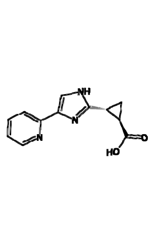 O=C(O)[C@@H]1C[C@H]1c1nc(-c2ccccn2)c[nH]1